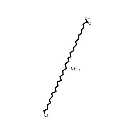 CCCCCCCCCCCCCCCCCCCCCCCCCCCCCCCCC(=O)O.[CaH2]